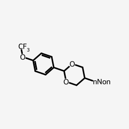 CCCCCCCCCC1COC(c2ccc(OC(F)(F)F)cc2)OC1